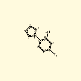 Fc1ccc(-n2c[c]cn2)c(Cl)c1